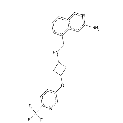 Nc1cc2c(CNC3CC(Oc4ccc(C(F)(F)F)nc4)C3)cccc2cn1